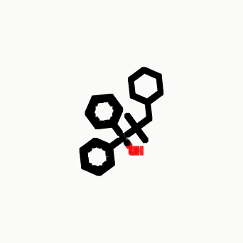 CC(C)(CC1CCCCC1)[Si](O)(c1ccccc1)c1ccccc1